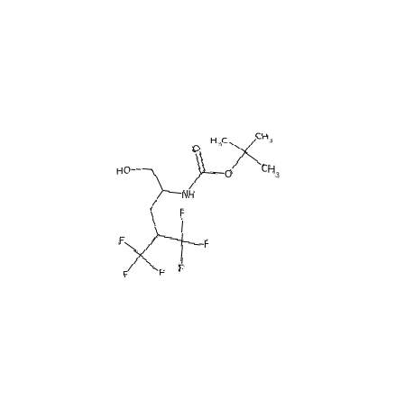 CC(C)(C)OC(=O)NC(CO)CC(C(F)(F)F)C(F)(F)F